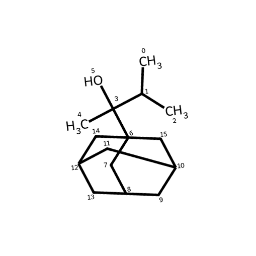 CC(C)C(C)(O)C12CC3CC(CC(C3)C1)C2